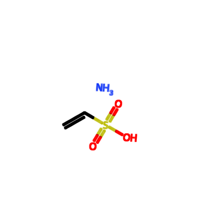 C=CS(=O)(=O)O.N